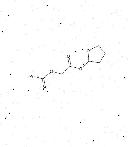 CC(C)C(=O)OCC(=O)OC1CCCO1